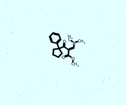 COC(=O)/C(=C/N(C)C)C(=O)C1(c2ccccc2)CCCC1